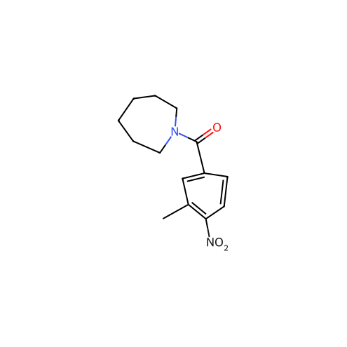 Cc1cc(C(=O)N2CCCCCC2)ccc1[N+](=O)[O-]